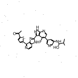 CC(=O)c1ccc(-c2nccc3[nH]c(-c4n[nH]c5ncc(-c6cncc(NC(O)C(C)C)c6)c(F)c45)nc23)s1